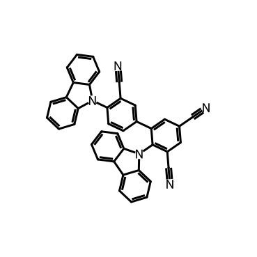 N#Cc1cc(C#N)c(-n2c3ccccc3c3ccccc32)c(-c2ccc(-n3c4ccccc4c4ccccc43)c(C#N)c2)c1